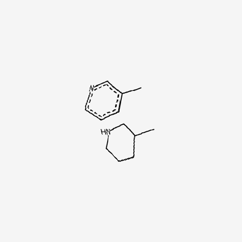 CC1CCCNC1.Cc1cccnc1